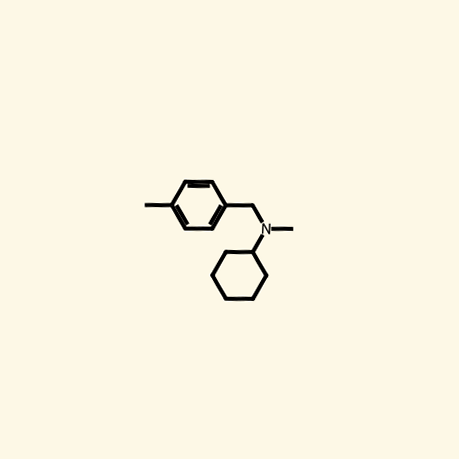 Cc1ccc(CN(C)C2CCCCC2)cc1